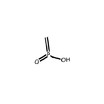 [C]=P(=O)O